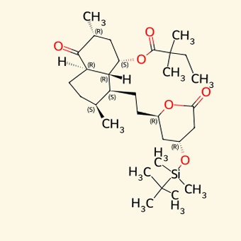 CCC(C)(C)C(=O)O[C@H]1C[C@@H](C)C(=O)[C@@H]2CC[C@H](C)[C@H](CC[C@@H]3C[C@@H](O[Si](C)(C)C(C)(C)C)CC(=O)O3)[C@@H]12